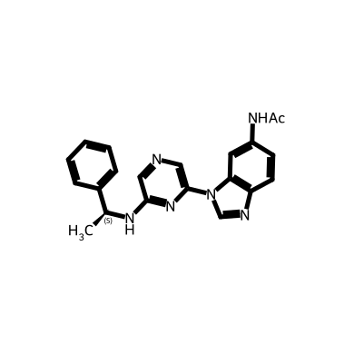 CC(=O)Nc1ccc2ncn(-c3cncc(N[C@@H](C)c4ccccc4)n3)c2c1